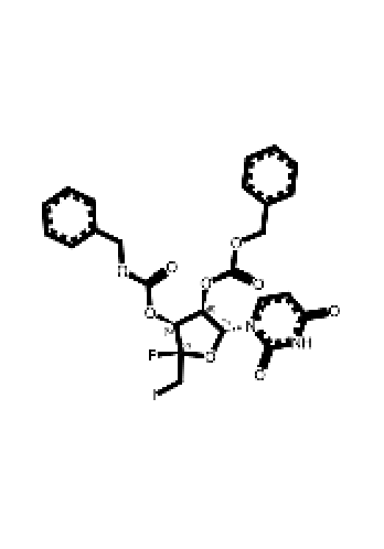 O=C(OCc1ccccc1)O[C@H]1[C@H](n2ccc(=O)[nH]c2=O)O[C@](F)(CI)[C@H]1OC(=O)OCc1ccccc1